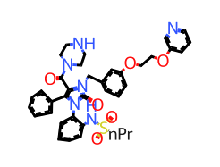 CCCS(=O)(=O)Nc1ccccc1-n1c(-c2ccccc2)c(C(=O)N2CCNCC2)n(Cc2cccc(OCCOc3cccnc3)c2)c1=O